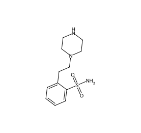 NS(=O)(=O)c1ccccc1CCN1CCNCC1